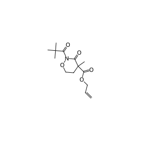 C=CCOC(=O)C1(C)CCON(C(=O)C(C)(C)C)C1=O